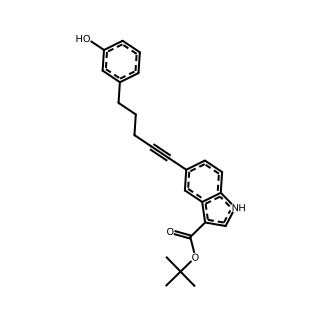 CC(C)(C)OC(=O)c1c[nH]c2ccc(C#CCCCc3cccc(O)c3)cc12